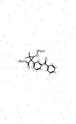 CCCCCOC1C(C)(C)C1(C(=O)OC)c1cccc(C(=O)c2ccccc2)n1